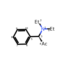 CCN(CC)[C@@H](C(C)=O)c1ccccc1